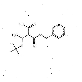 CC(C)(C)OC(N)C(C(=O)O)C(=O)OCc1ccccc1